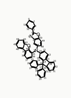 c1ccc(-c2nc3cc(N(c4ccc5c(c4)C(c4ccccc4)(c4ccccc4)c4ccccc4-5)c4cccc5c4oc4ccccc45)ccc3o2)cc1